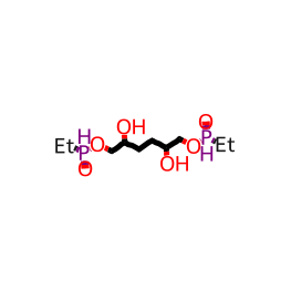 CC[PH](=O)OCC(O)CCC(O)CO[PH](=O)CC